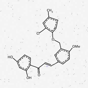 COc1ccc(/C=C/C(=O)c2ccc(O)cc2O)cc1COc1ccc(C)cc1Cl